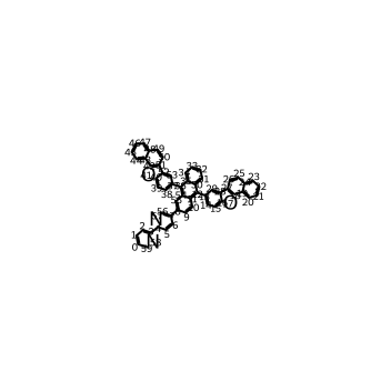 c1ccc(-c2ccc(-c3ccc4c(-c5ccc6oc7c8ccccc8ccc7c6c5)c5ccccc5c(-c5ccc6oc7c8ccccc8ccc7c6c5)c4c3)cn2)nc1